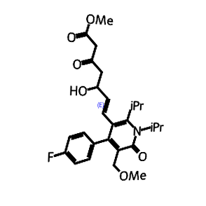 COCc1c(-c2ccc(F)cc2)c(/C=C/C(O)CC(=O)CC(=O)OC)c(C(C)C)n(C(C)C)c1=O